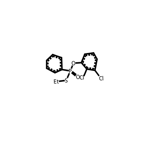 CCSP(=O)(Oc1cccc(Cl)c1Cl)c1ccccc1